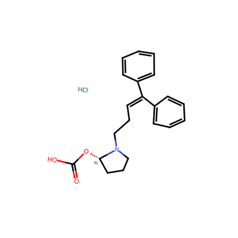 Cl.O=C(O)O[C@H]1CCCN1CCC=C(c1ccccc1)c1ccccc1